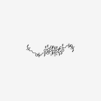 C=C[Si](C)(C)CCCCO[Si](C)(C)CCC(F)(OC(F)(F)C(F)(OC(F)(F)C(F)(F)OC(F)(C(F)(F)F)C(F)(F)OC(F)(CC[Si](C)(C)O[Si](C)(C)C=C)C(F)(F)F)C(F)(F)F)C(F)(F)F